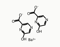 O=C([O-])c1cncc(O)n1.O=C([O-])c1cncc(O)n1.[Ba+2]